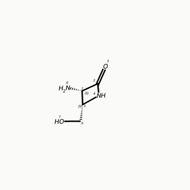 N[C@@H]1C(=O)N[C@@H]1CO